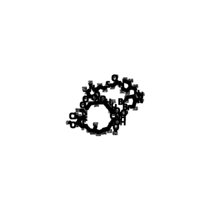 COc1cc2cc(c1Cl)N(C)C(=O)C[C@H](OC(=O)[C@H](C)N(C)C(=O)CCSCC(=O)N1CCC(Cn3nnc(CBr)c3CBr)CC1)[C@]1(C)O[C@H]1[C@H](C)[C@@H]1C[C@@](O)(NC(=O)O1)[C@H](OC)/C=C/C=C(\C)C2